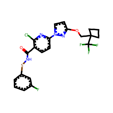 O=C(NSc1cccc(F)c1)c1ccc(-n2ccc(OCC3(C(F)(F)F)CCC3)n2)nc1Cl